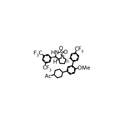 COc1ccc(C2CCC(C(C)=O)CC2)cc1-c1ccc(C(F)(F)F)cc1[C@@H]1CC[C@H]2[C@@H](c3cc(C(F)(F)F)cc(C(F)(F)F)c3)NS(=O)(=O)N12